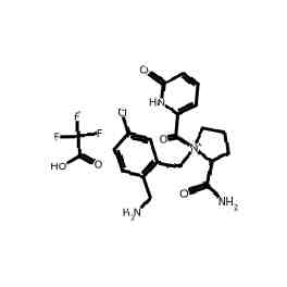 NCc1ccc(Cl)cc1C[N+]1(C(=O)c2cccc(=O)[nH]2)CCCC1C(N)=O.O=C(O)C(F)(F)F